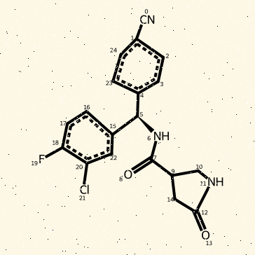 N#Cc1ccc([C@@H](NC(=O)C2CNC(=O)C2)c2ccc(F)c(Cl)c2)cc1